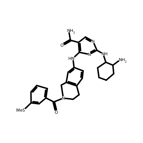 CSc1cccc(C(=O)N2CCc3ccc(Nc4nc(NC5CCCCC5N)ncc4C(N)=O)cc3C2)c1